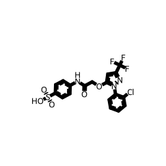 O=C(COc1cc(C(F)(F)F)nn1-c1ccccc1Cl)Nc1ccc(S(=O)(=O)O)cc1